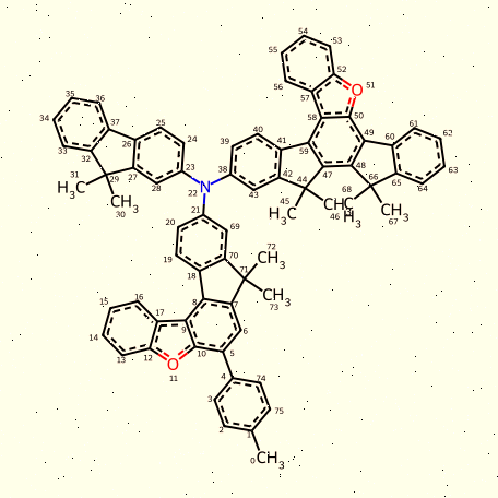 Cc1ccc(-c2cc3c(c4c2oc2ccccc24)-c2ccc(N(c4ccc5c(c4)C(C)(C)c4ccccc4-5)c4ccc5c(c4)C(C)(C)c4c6c(c7oc8ccccc8c7c4-5)-c4ccccc4C6(C)C)cc2C3(C)C)cc1